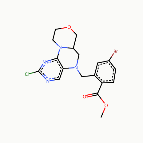 COC(=O)c1ccc(Br)cc1CN1CC2COCCN2c2nc(Cl)ncc21